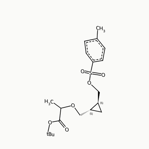 Cc1ccc(S(=O)(=O)OC[C@H]2C[C@@H]2COC(C)C(=O)OC(C)(C)C)cc1